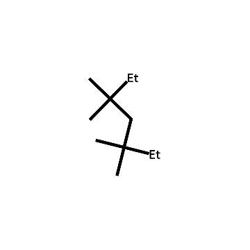 CCC(C)(C)CC(C)(C)CC